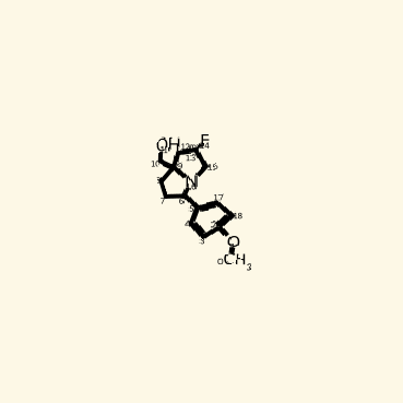 COc1ccc(C2CCC3(CO)C[C@@H](F)CN23)cc1